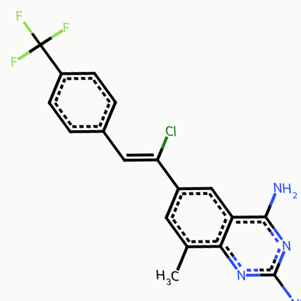 Cc1cc(/C(Cl)=C/c2ccc(C(F)(F)F)cc2)cc2c(N)nc(N)nc12